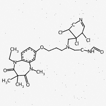 CCN1C(=O)C(C)(C)C(=O)N(C)c2cc(OCCCN(CCNC=O)CC3(Cl)C(Cl)[CH]N=CC3Cl)ccc21